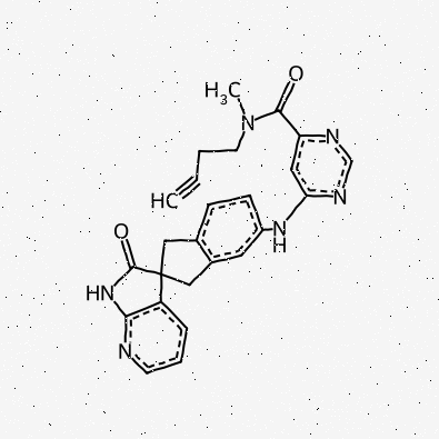 C#CCCN(C)C(=O)c1cc(Nc2ccc3c(c2)CC2(C3)C(=O)Nc3ncccc32)ncn1